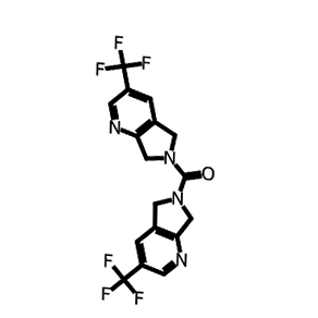 O=C(N1Cc2cc(C(F)(F)F)cnc2C1)N1Cc2cc(C(F)(F)F)cnc2C1